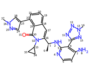 C[C@H](Nc1nccc(N)c1-c1nnn(C)n1)c1cc2cccc(-c3cnn(C)c3)c2c(=O)n1C1CC1